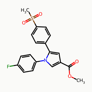 COC(=O)c1cc(-c2ccc(S(C)(=O)=O)cc2)n(-c2ccc(F)cc2)c1